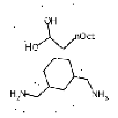 CCCCCCCCCC(O)O.NCC1CCCC(CN)C1